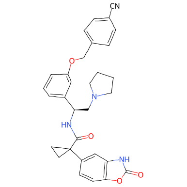 N#Cc1ccc(COc2cccc([C@@H](CN3CCCC3)NC(=O)C3(c4ccc5oc(=O)[nH]c5c4)CC3)c2)cc1